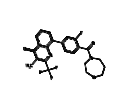 Cc1c(C(F)(F)F)nc2c(-c3ccc(C(=O)N4CCCOCC4)c(F)c3)cccn2c1=O